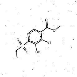 CCS(=O)(=O)c1ccc(C(=O)OC)c(Cl)c1O